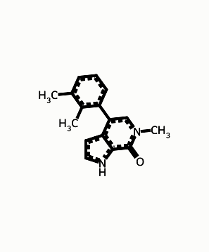 Cc1cccc(-c2cn(C)c(=O)c3[nH]ccc23)c1C